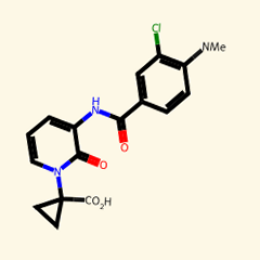 CNc1ccc(C(=O)Nc2cccn(C3(C(=O)O)CC3)c2=O)cc1Cl